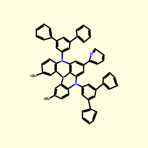 CCCCc1ccc2c(c1)B1c3cc(CCCC)ccc3N(c3cc(-c4ccccc4)cc(-c4ccccc4)c3)c3cc(-c4ccccn4)cc(c31)N2c1cc(-c2ccccc2)cc(-c2ccccc2)c1